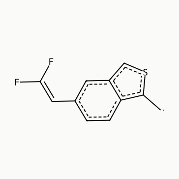 [CH2]c1scc2cc(C=C(F)F)ccc12